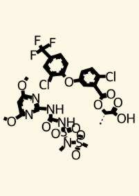 COc1cc(OC)nc(NC(=O)NS(=O)(=O)N(C)S(C)(=O)=O)n1.C[C@H](OC(=O)c1cc(Oc2ccc(C(F)(F)F)cc2Cl)ccc1Cl)C(=O)O